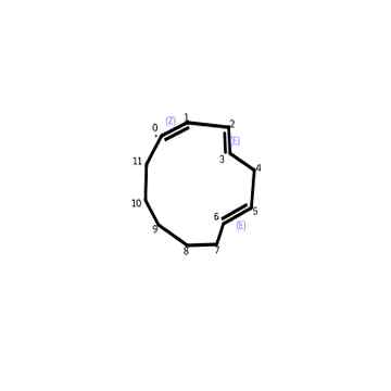 [C]1=C\C=C\C/C=C/CCCCC/1